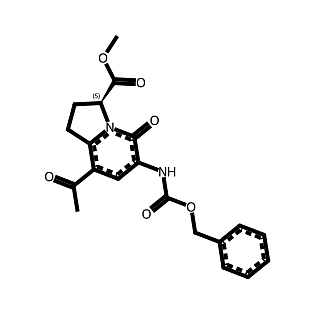 COC(=O)[C@@H]1CCc2c(C(C)=O)cc(NC(=O)OCc3ccccc3)c(=O)n21